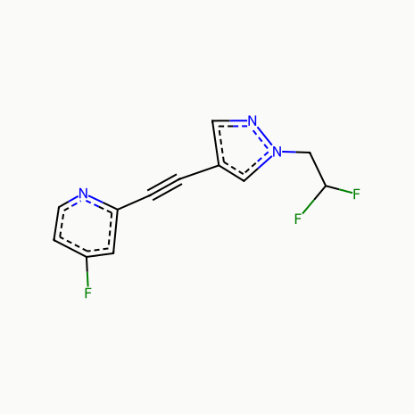 Fc1ccnc(C#Cc2cnn(CC(F)F)c2)c1